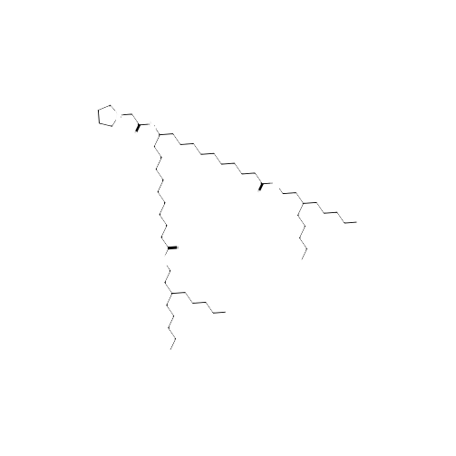 CCCCCC(CCCCC)CCOC(=O)CCCCCCCCCC(CCCCCCCCCC(=O)OCCC(CCCCC)CCCCC)NC(=O)CN1CCCC1